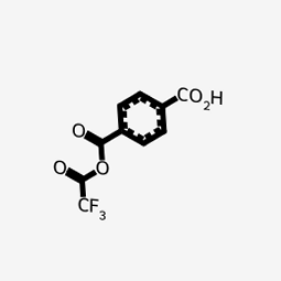 O=C(O)c1ccc(C(=O)OC(=O)C(F)(F)F)cc1